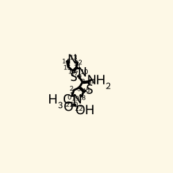 C[C@@H]1Cc2c(sc(N)c2-c2nc3cnccc3s2)CN1C(=O)O